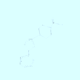 CC(C)(C)C(=O)N1CCC(c2nc(-c3cccnc3)cs2)CC1